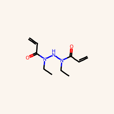 C=CC(=O)N(CC)NN(CC)C(=O)C=C